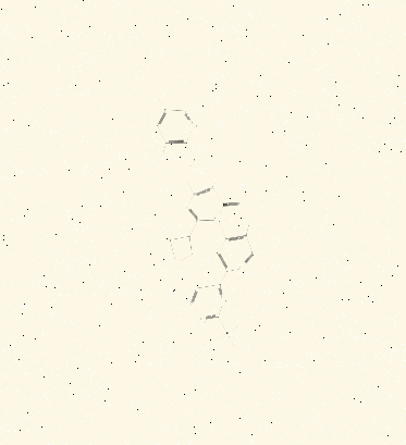 Cc1cnc(COc2cc(C3COC3)n(-c3cc(-c4ccnc(C(C)(C)O)n4)ncc3C)c(=O)c2Cl)c(F)c1